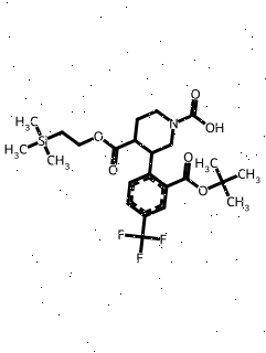 CC(C)(C)OC(=O)c1cc(C(F)(F)F)ccc1C1CN(C(=O)O)CCC1C(=O)OCC[Si](C)(C)C